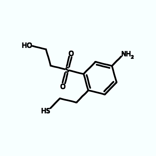 Nc1ccc(CCS)c(S(=O)(=O)CCO)c1